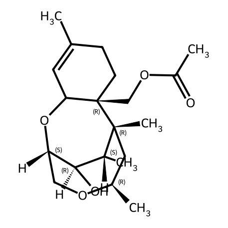 CC(=O)OC[C@]12CCC(C)=CC1O[C@H]1CO[C@H](C)C[C@]2(C)[C@H](C)[C@H]1O